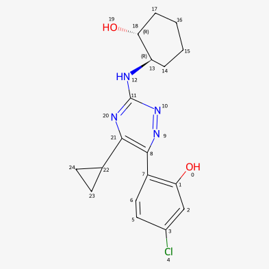 Oc1cc(Cl)ccc1-c1nnc(N[C@@H]2CCCC[C@H]2O)nc1C1CC1